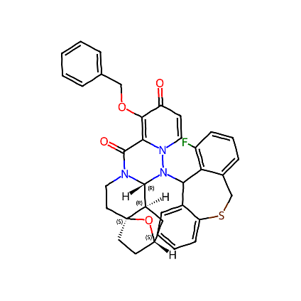 O=C1c2c(OCc3ccccc3)c(=O)ccn2N(C2c3ccccc3SCc3cccc(F)c32)[C@@H]2[C@H]3C[C@@H]4CC[C@@]3(CCN12)O4